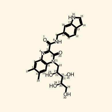 Cc1cc2nc(C(=O)NCc3ccc4cc[nH]c4c3)c(=O)n(C[C@H](O)[C@H](O)[C@H](O)CO)c2cc1C